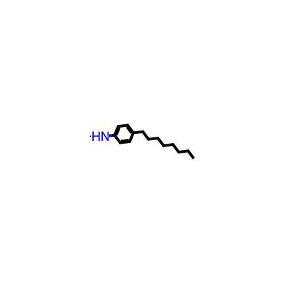 CCCCCCCCc1ccc([NH])cc1